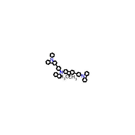 CC1(C)c2cc(-c3ccc(-n4c5ccccc5c5ccccc54)cc3)ccc2-c2ccc(N(c3ccc(-c4ccc5c(c4)c4ccccc4n5-c4ccccc4)cc3)c3cccc4ccccc34)cc21